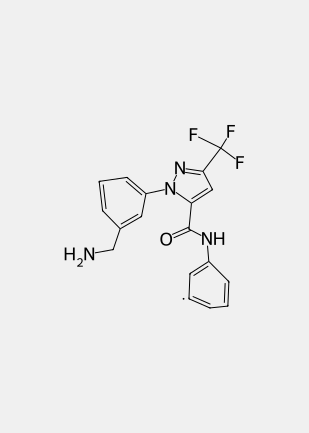 NCc1cccc(-n2nc(C(F)(F)F)cc2C(=O)Nc2c[c]ccc2)c1